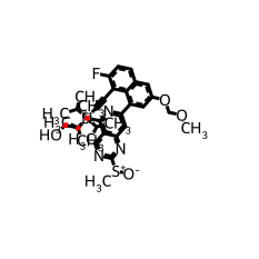 COCOc1cc(-c2cc3nc([S+](C)[O-])ncc3c(N(C)CCO)n2)c2c(C#C[Si](C(C)C)(C(C)C)C(C)C)c(F)ccc2c1